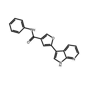 O=C(Nc1ccccc1)c1coc(-c2c[nH]c3ncccc23)c1